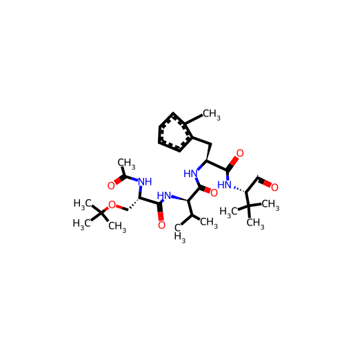 CC(=O)N[C@@H](COC(C)(C)C)C(=O)N[C@@H](C(=O)N[C@@H](Cc1ccccc1C)C(=O)N[C@H]([C]=O)C(C)(C)C)C(C)C